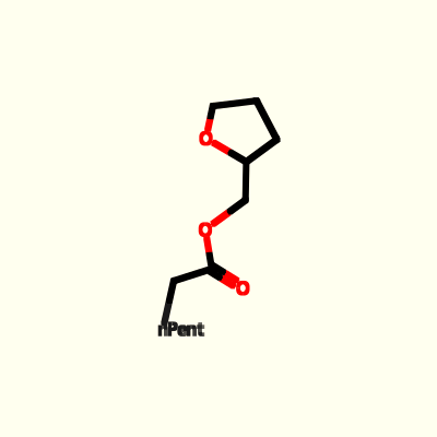 CCCCCCC(=O)OCC1CCCO1